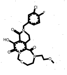 COCCN1CCCCn2c(c3c(c(O)c2=O)C(=O)N(Cc2ccc(F)c(Cl)c2)CC3)C1=O